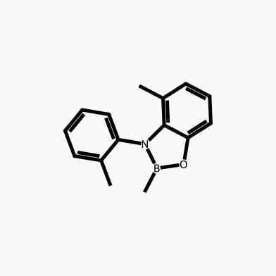 CB1Oc2cccc(C)c2N1c1ccccc1C